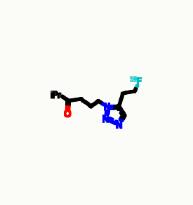 CC(C)C(=O)CCCn1nncc1CC[18F]